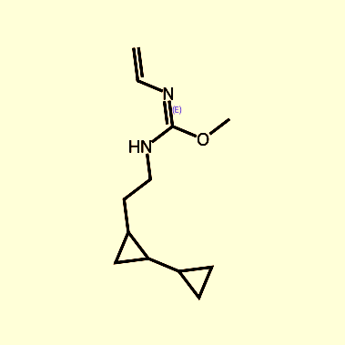 C=C/N=C(\NCCC1CC1C1CC1)OC